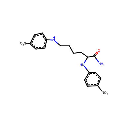 NC(=O)C(CCCCNc1ccc([N+](=O)[O-])cc1)Nc1ccc([N+](=O)[O-])cc1